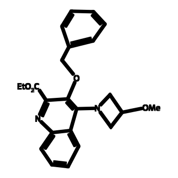 CCOC(=O)c1nc2ccccc2c(N2CC(OC)C2)c1OCc1ccccc1